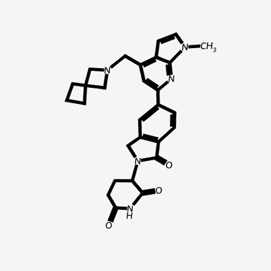 Cn1ccc2c(CN3CC4(CCC4)C3)cc(-c3ccc4c(c3)CN(C3CCC(=O)NC3=O)C4=O)nc21